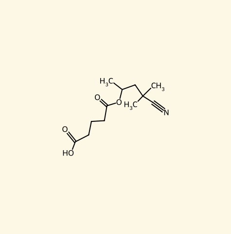 CC(CC(C)(C)C#N)OC(=O)CCCC(=O)O